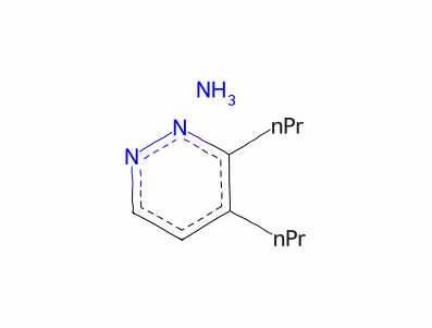 CCCc1ccnnc1CCC.N